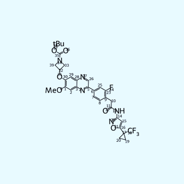 COc1cc2nc(-c3ccc(CC(=O)Nc4cc(C5(C(F)(F)F)CC5)on4)c(F)c3)cnc2cc1OC1CN(C(=O)OC(C)(C)C)C1